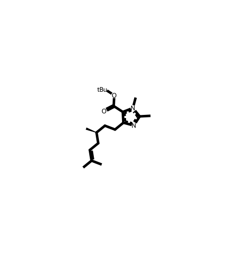 CC(C)=CC[C@@H](C)CCc1nc(C)n(C)c1C(=O)OC(C)(C)C